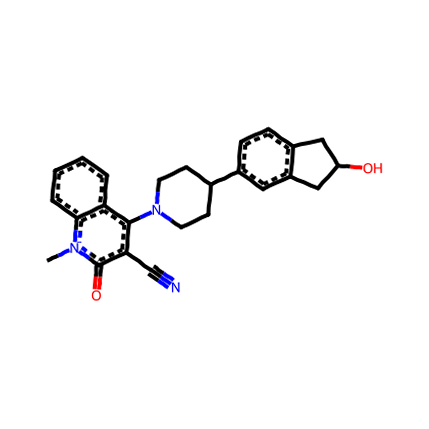 Cn1c(=O)c(C#N)c(N2CCC(c3ccc4c(c3)CC(O)C4)CC2)c2ccccc21